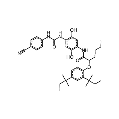 CCCCC(Oc1ccc(C(C)(C)CC)cc1C(C)(C)CC)C(=O)Nc1cc(O)c(NC(=O)Nc2ccc(C#N)cc2)cc1O